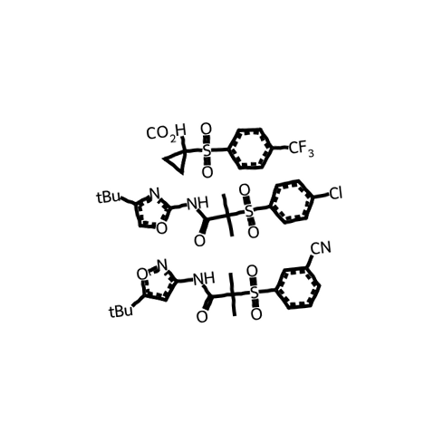 CC(C)(C)c1cc(NC(=O)C(C)(C)S(=O)(=O)c2cccc(C#N)c2)no1.CC(C)(C)c1coc(NC(=O)C(C)(C)S(=O)(=O)c2ccc(Cl)cc2)n1.O=C(O)C1(S(=O)(=O)c2ccc(C(F)(F)F)cc2)CC1